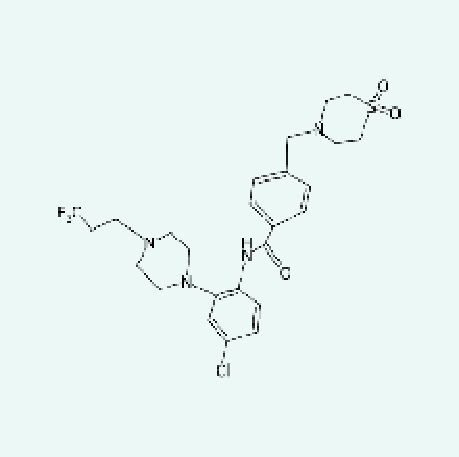 O=C(Nc1ccc(Cl)cc1N1CCN(CCC(F)(F)F)CC1)c1ccc(CN2CCS(=O)(=O)CC2)cc1